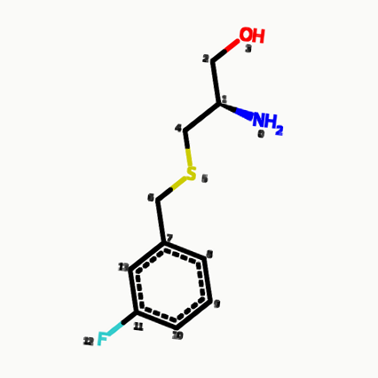 N[C@H](CO)CSCc1cccc(F)c1